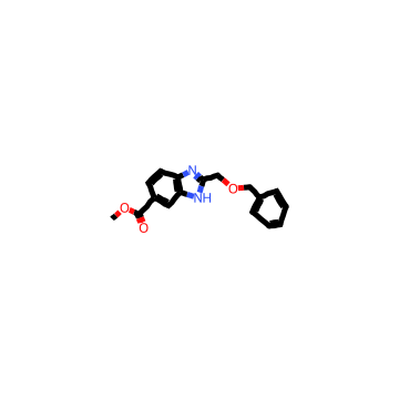 COC(=O)c1ccc2nc(COCc3ccccc3)[nH]c2c1